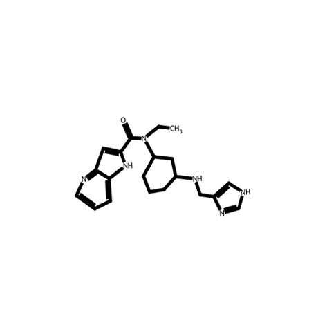 CCN(C(=O)c1cc2ncccc2[nH]1)C1CCCC(NCc2c[nH]cn2)C1